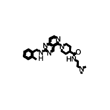 Cc1ccccc1CNc1ncc2c(N3CCC(C(=O)NCCN(C)C)CC3)nccc2n1